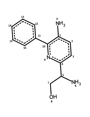 Nc1ccc(C(N)CO)nc1-c1ccccc1